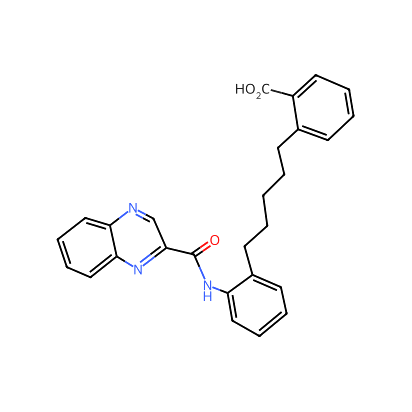 O=C(Nc1ccccc1CCCCCc1ccccc1C(=O)O)c1cnc2ccccc2n1